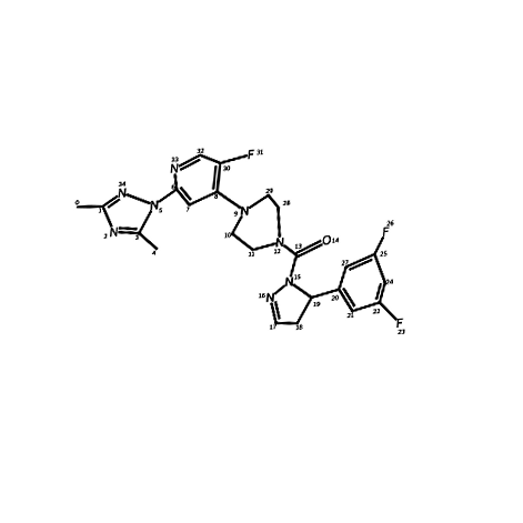 Cc1nc(C)n(-c2cc(N3CCN(C(=O)N4N=CCC4c4cc(F)cc(F)c4)CC3)c(F)cn2)n1